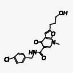 Cn1cc(C(=O)NCc2ccc(Cl)cc2)c(=O)c2cc(CCCO)oc21